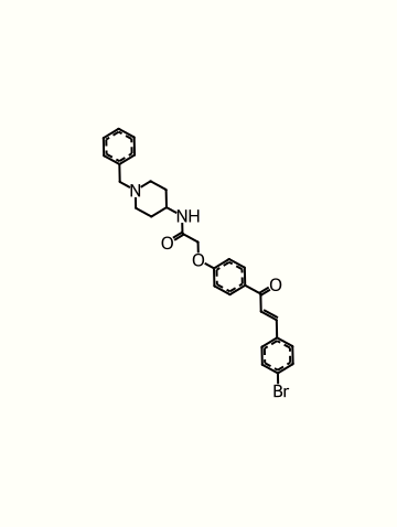 O=C(COc1ccc(C(=O)C=Cc2ccc(Br)cc2)cc1)NC1CCN(Cc2ccccc2)CC1